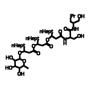 CCCCCCCC(CC(=O)NC(CO)C(=O)NC(CO)CC(C)C)OC(=O)CC(CCCCCCC)OC(=O)CC(CCCCCCC)OC1OC(C)C(O)C(O)C1O